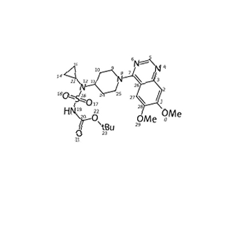 COc1cc2ncnc(N3CCC(N(C4CC4)S(=O)(=O)NC(=O)OC(C)(C)C)CC3)c2cc1OC